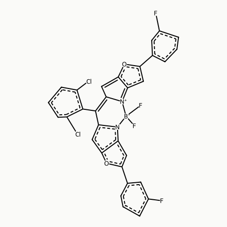 Fc1cccc(-c2cc3c(o2)=CC2=C(c4c(Cl)cccc4Cl)c4cc5oc(-c6cccc(F)c6)cc5n4[B-](F)(F)[N+]=32)c1